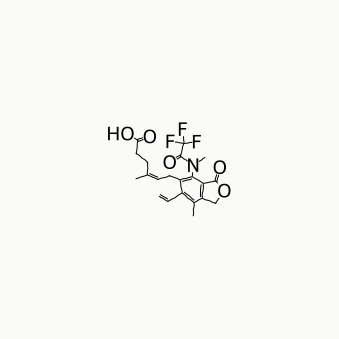 C=Cc1c(C)c2c(c(N(C)C(=O)C(F)(F)F)c1CC=C(C)CCC(=O)O)C(=O)OC2